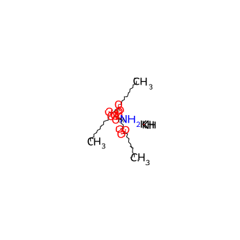 CCCCCCCCCCCCOC(=O)CC(C(=O)OCCCCCCCCCCCC)S(=O)(=O)OC(=O)[C@@H](N)CCC(=O)OC(=O)CCCCCCCCCC.[KH].[KH]